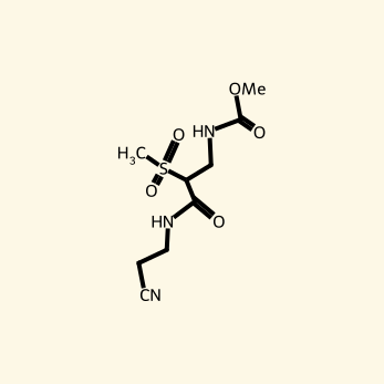 COC(=O)NCC(C(=O)NCCC#N)S(C)(=O)=O